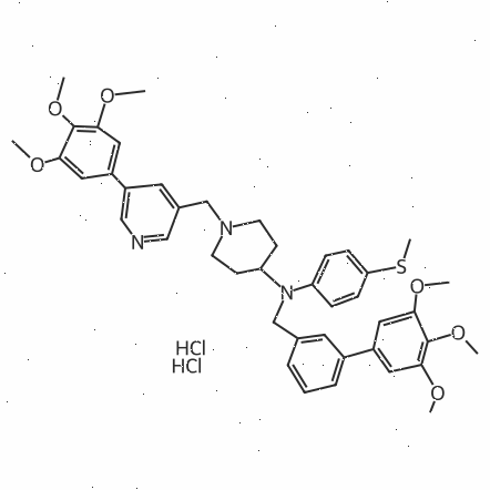 COc1cc(-c2cncc(CN3CCC(N(Cc4cccc(-c5cc(OC)c(OC)c(OC)c5)c4)c4ccc(SC)cc4)CC3)c2)cc(OC)c1OC.Cl.Cl